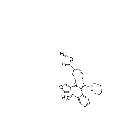 C=Cc1ccccc1-c1c(C2CCCCC2)c2ccc(C(=O)OC)cc2n1-c1ccoc1